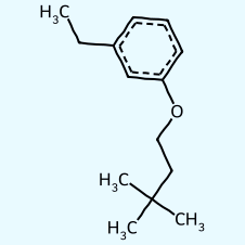 CCc1cccc(OCCC(C)(C)C)c1